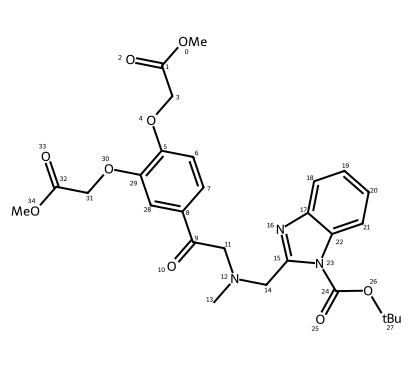 COC(=O)COc1ccc(C(=O)CN(C)Cc2nc3ccccc3n2C(=O)OC(C)(C)C)cc1OCC(=O)OC